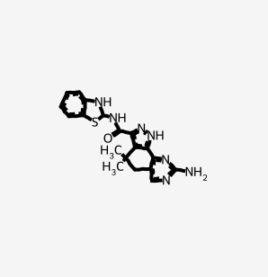 CC1(C)Cc2cnc(N)nc2-c2[nH]nc(C(=O)NC3Nc4ccccc4S3)c21